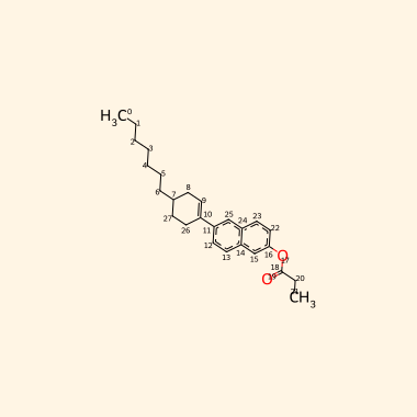 CCCCCCCC1CC=C(c2ccc3cc(OC(=O)CC)ccc3c2)CC1